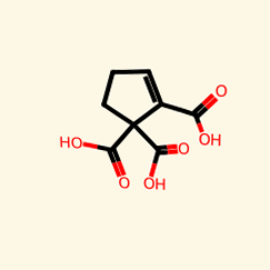 O=C(O)C1=CCCC1(C(=O)O)C(=O)O